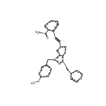 COc1ccc(Cn2nc(C=Cc3ccncc3)c3ccc(C#Cc4ccccc4C(N)=O)cc32)cc1